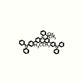 CC1(C)c2ccccc2N2c3ccc(-c4ccc(N(c5ccccc5)c5ccccc5)cc4)cc3C(C)(C)c3cc(-c4ccc(N(c5ccccc5)c5ccccc5)cc4)cc1c32